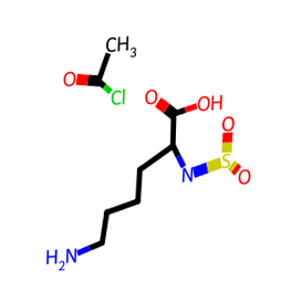 CC(=O)Cl.NCCCCC(N=S(=O)=O)C(=O)O